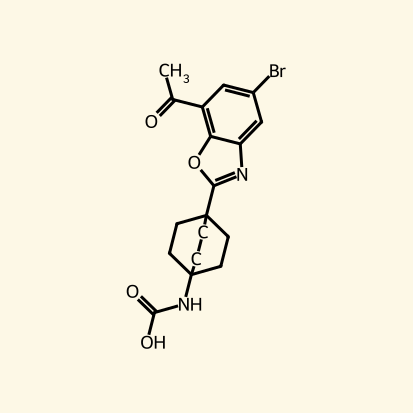 CC(=O)c1cc(Br)cc2nc(C34CCC(NC(=O)O)(CC3)CC4)oc12